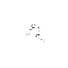 CC(C)(Cc1cccc(CC(=O)N2CCC(CO)CC2)c1)NCC(O)c1ccc(O)c(NC(N)=O)c1